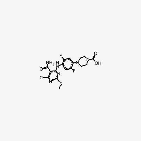 CSc1nc(Cl)c(C(N)=O)c(Nc2cc(F)c(N3CCN(C(=O)O)CC3)cc2F)n1